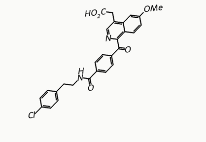 COc1ccc2c(C(=O)c3ccc(C(=O)NCCc4ccc(Cl)cc4)cc3)ncc(CC(=O)O)c2c1